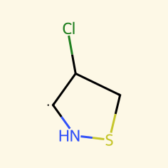 ClC1[CH]NSC1